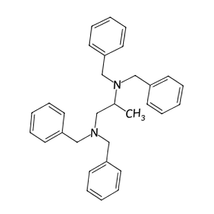 CC(CN(Cc1ccccc1)Cc1ccccc1)N(Cc1ccccc1)Cc1ccccc1